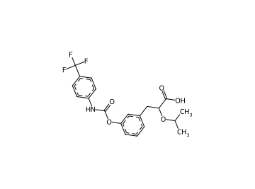 CC(C)OC(Cc1cccc(OC(=O)Nc2ccc(C(F)(F)F)cc2)c1)C(=O)O